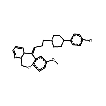 COc1ccc2c(c1)C(=CCCN1CCC(c3ccc(Cl)cc3)CC1)C1C=CC=NC1CO2